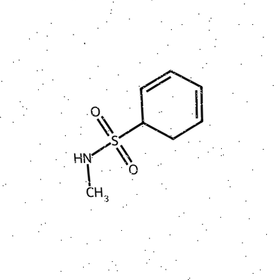 CNS(=O)(=O)C1C=CC=CC1